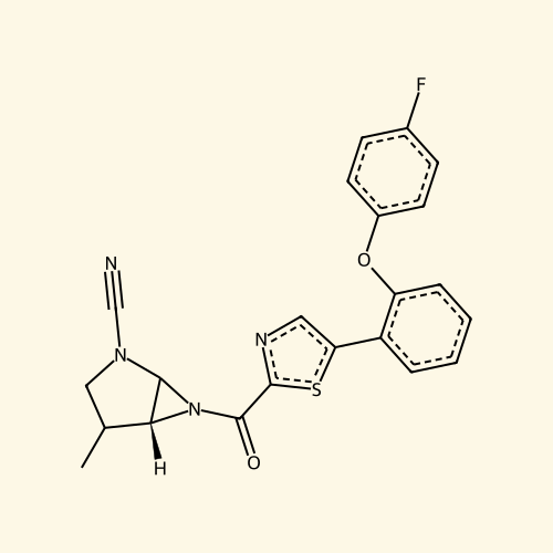 CC1CN(C#N)C2[C@@H]1N2C(=O)c1ncc(-c2ccccc2Oc2ccc(F)cc2)s1